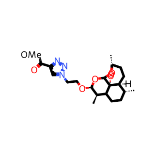 COC(=O)c1cn(CCO[C@H]2OC3O[C@]4(C)CC[C@H]5[C@H](C)CCC([C@H]2C)[C@@]35OO4)nn1